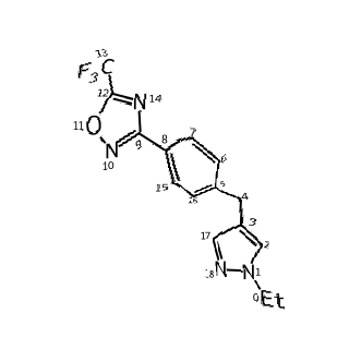 CCn1cc(Cc2ccc(-c3noc(C(F)(F)F)n3)cc2)cn1